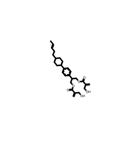 C=C(CO)C(=O)OCC(COC(=O)C(=C)CO)c1ccc(C2CCC(CC/C=C/C)CC2)cc1